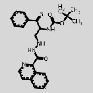 CC(C)(C)OC(=O)NC(CNNC(=O)c1nccc2c[c]ccc12)C(=S)c1ccccc1